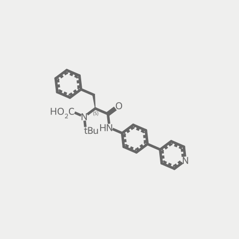 CC(C)(C)N(C(=O)O)[C@@H](Cc1ccccc1)C(=O)Nc1ccc(-c2ccncc2)cc1